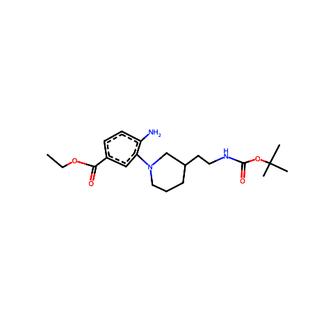 CCOC(=O)c1ccc(N)c(N2CCCC(CCNC(=O)OC(C)(C)C)C2)c1